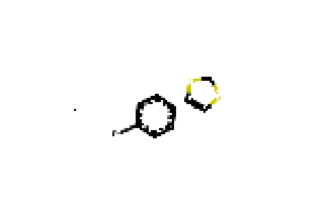 C1=CSCS1.CCc1ccccc1